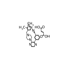 Cc1c(CN2CCN(c3nccnc3-c3cccc(C#N)c3)CC2)cnn1C.O=C(O)C=CC(=O)O